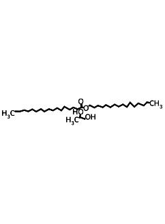 CC(O)CO.CCCCCCCCCCCCCCCCCC(=O)OCCCCCCCCCCCCCCCC